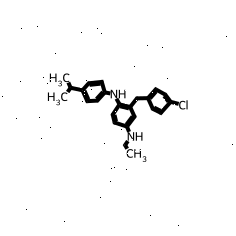 CCNc1ccc(Nc2ccc(C(C)C)cc2)c(Cc2ccc(Cl)cc2)c1